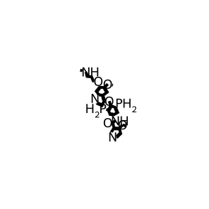 CNCCCOc1cc2nccc(Oc3c(P)cc(NC(=O)c4cnccc4OC)cc3P)c2cc1OC